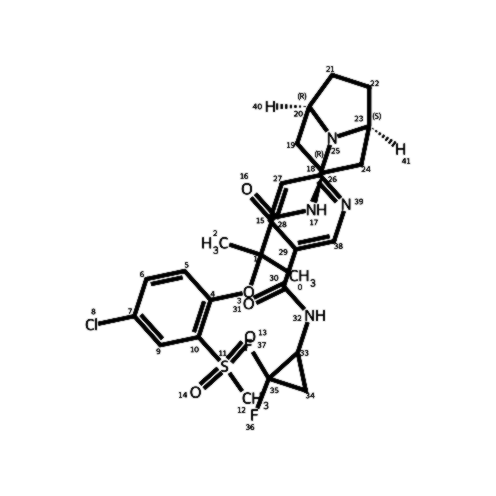 CC(C)(Oc1ccc(Cl)cc1S(C)(=O)=O)C(=O)N[C@H]1C[C@H]2CC[C@@H](C1)N2c1ccc(C(=O)NC2CC2(F)F)cn1